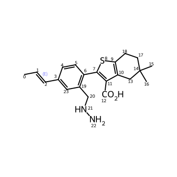 C/C=C/c1ccc(-c2sc3c(c2C(=O)O)CC(C)(C)CC3)c(CNN)c1